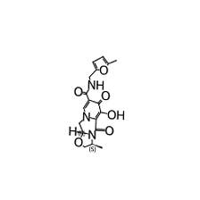 Cc1ccc(CNC(=O)c2cn3c(c(O)c2=O)C(=O)N2[C@@H](C)CO[C@@H]2C3)o1